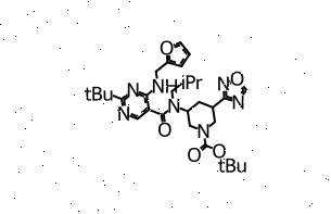 CC(C)CN(C(=O)c1cnc(C(C)(C)C)nc1NCc1ccco1)C1CC(c2ncon2)CN(C(=O)OC(C)(C)C)C1